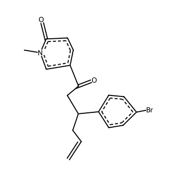 C=CCC(CC(=O)c1ccc(=O)n(C)c1)c1ccc(Br)cc1